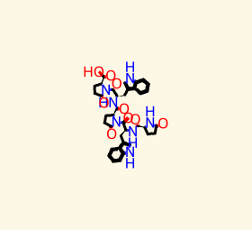 O=C1CC[C@@H](C(=O)N[C@@H](Cc2c[nH]c3ccccc23)C(=O)N2C(=O)CC[C@H]2C(=O)N[C@@H](Cc2c[nH]c3ccccc23)C(=O)N2C(=O)CC[C@H]2C(=O)O)N1